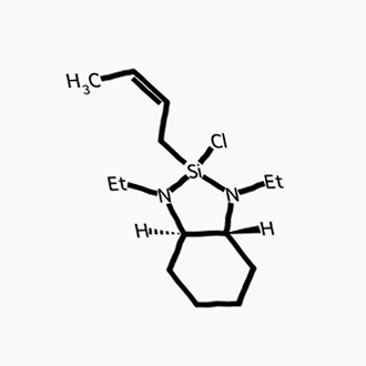 C/C=C\C[Si]1(Cl)N(CC)[C@@H]2CCCC[C@H]2N1CC